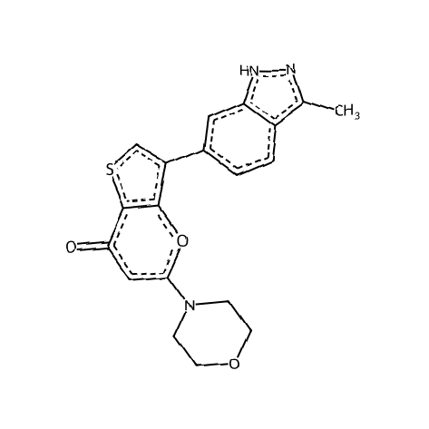 Cc1n[nH]c2cc(-c3csc4c(=O)cc(N5CCOCC5)oc34)ccc12